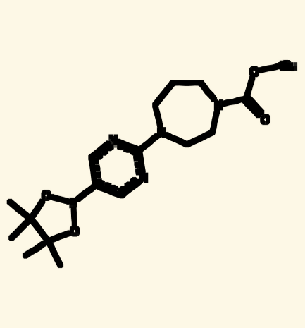 CC(C)(C)OC(=O)N1CCCN(c2ncc(B3OC(C)(C)C(C)(C)O3)cn2)CC1